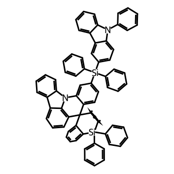 c1ccc(-n2c3ccccc3c3cc([Si](c4ccccc4)(c4ccccc4)c4ccc5c(c4)-n4c6ccccc6c6cccc(c64)C54c5ccccc5[Si](c5ccccc5)(c5ccccc5)c5ccccc54)ccc32)cc1